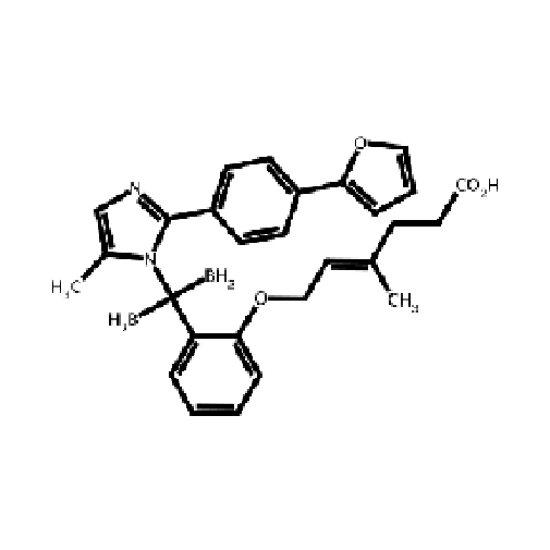 BC(B)(c1ccccc1OC/C=C(\C)CCC(=O)O)n1c(C)cnc1-c1ccc(-c2ccco2)cc1